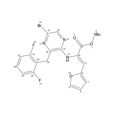 CC(C)(C)OC(=O)/C(=C/c1ccco1)Nc1ncc(Br)nc1Cc1c(F)cccc1F